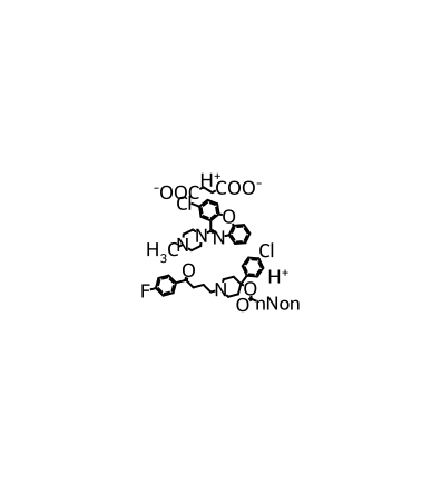 CCCCCCCCCC(=O)OC1(c2ccc(Cl)cc2)CCN(CCCC(=O)c2ccc(F)cc2)CC1.CN1CCN(C2=Nc3ccccc3Oc3ccc(Cl)cc32)CC1.O=C([O-])CCC(=O)[O-].[H+].[H+]